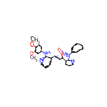 COc1ccc(Nc2ncccc2/C=C/C(=O)c2cccnc2Nc2ccccc2)cc1OC